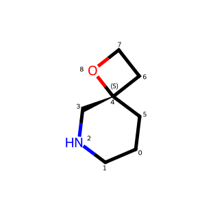 C1CNC[C@]2(C1)CCO2